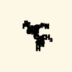 COc1ccnc2[nH]cc(C3CCN(c4nc(OC[C@H]5C[C@H]5C#N)nc(C(=O)NCC(F)(F)F)n4)CC3)c12